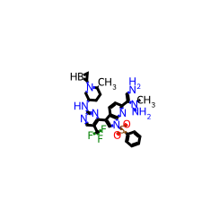 C[C@@H]1CCC(Nc2ncc(C(F)(F)F)c(-c3cn(S(=O)(=O)c4ccccc4)c4nc(/C(=C/N)N(C)N)ccc34)n2)CN1C1BC1